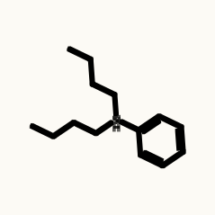 CCCC[SiH](CCCC)c1ccccc1